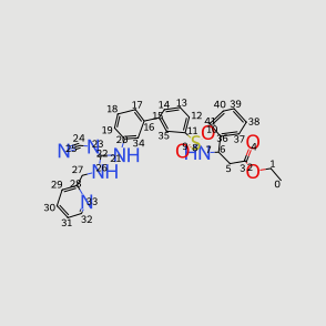 CCOC(=O)CC(NS(=O)(=O)c1cccc(-c2cccc(NC(=NC#N)NCc3ccccn3)c2)c1)c1ccccc1